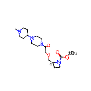 CN1CCC(N2CCN(C(=O)COC[C@@H]3CCN3C(=O)OC(C)(C)C)CC2)CC1